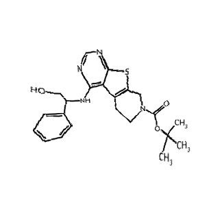 CC(C)(C)OC(=O)N1CCc2c(sc3ncnc(NC(CO)c4ccccc4)c23)C1